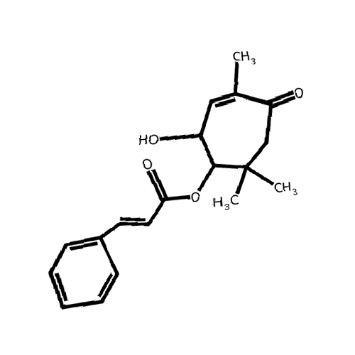 CC1=CC(O)C(OC(=O)C=Cc2ccccc2)C(C)(C)CC1=O